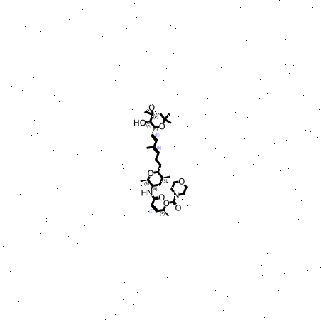 CC(/C=C/[C@H]1OC(C)(C)C[C@@]2(CO2)[C@@H]1O)=C\CCC1O[C@H](C)[C@H](NC(=O)/C=C\[C@H](C)OC(=O)N2CCOCC2)C[C@@H]1C